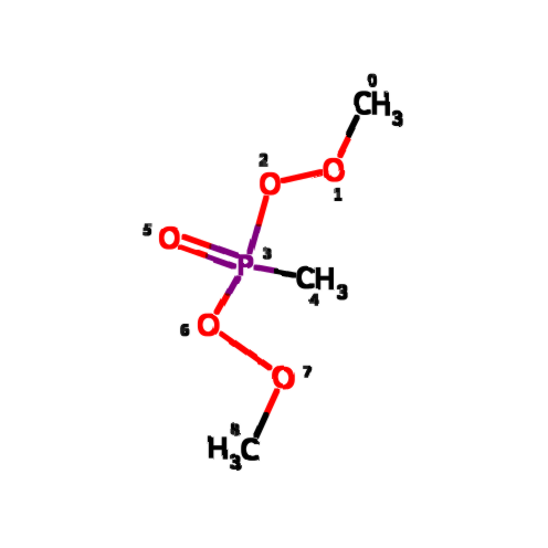 COOP(C)(=O)OOC